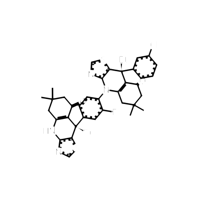 CC[C@@]1(c2cccc(Cl)c2)C2=C(CC(C)(C)CC2=O)N(c2ccc([C@@]3(CC)C4=C(CC(C)(C)CC4=O)Nc4ncsc43)cc2F)c2ncsc21